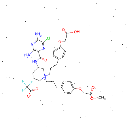 COC(=O)COc1ccc(CCC[N+]2(CCCc3ccc(OCC(=O)O)cc3)CCCC(NC(=O)c3nc(Cl)c(N)nc3N)C2)cc1.O=C([O-])C(F)(F)F